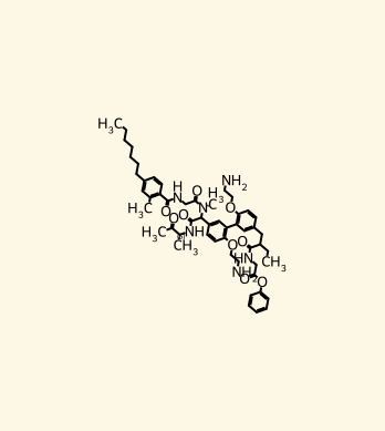 CCCCCCCc1ccc(C(=O)NCC(=O)N(C)C(C(=O)N[C@@H](C)C(C)=O)c2ccc(OCCN)c(-c3cc(CC(CC)C(=O)NCC(=O)Oc4ccccc4)ccc3OCCN)c2)c(C)c1